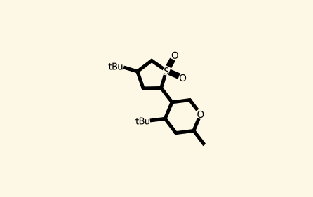 CC1CC(C(C)(C)C)C(C2CC(C(C)(C)C)CS2(=O)=O)CO1